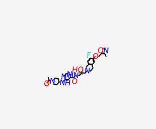 CC(=O)N1CCC(Nc2cc(C(=O)NC[C@H](O)CN3CCc4cc(OCc5ocnc5C)c(F)cc4C3)ncn2)CC1